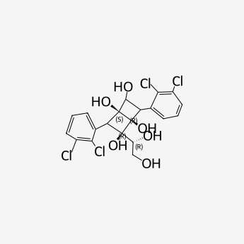 OC[C@@H](O)[C@]1(O)C(c2cccc(Cl)c2Cl)[C@]2(O)C(O)C(c3cccc(Cl)c3Cl)[C@@]21O